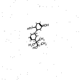 CCCC1CC=C(O)CC1[C@@H]1CC=CC(C(C)(C)[C@H](C)O)C1